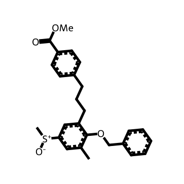 COC(=O)c1ccc(CCCc2cc([S+](C)[O-])cc(C)c2OCc2ccccc2)cc1